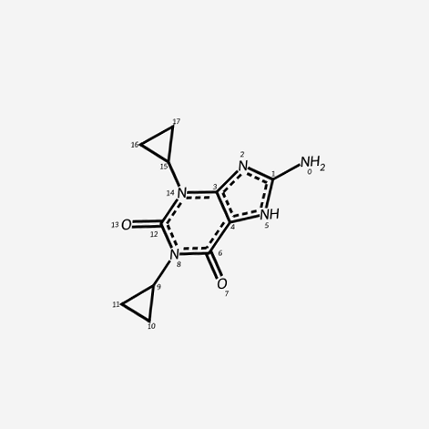 Nc1nc2c([nH]1)c(=O)n(C1CC1)c(=O)n2C1CC1